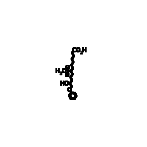 CS(=O)(=O)C(CCCCCCC(=O)O)CCCC(O)COc1ccccc1